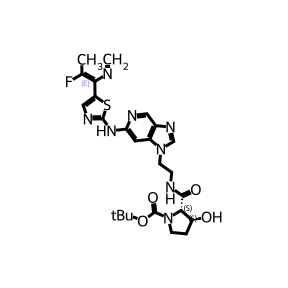 C=N/C(=C(\C)F)c1cnc(Nc2cc3c(cn2)ncn3CCNC(=O)[C@@H]2[C@@H](O)CCN2C(=O)OC(C)(C)C)s1